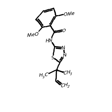 C=CC(C)(C)c1nnc(NC(=O)c2c(OC)cccc2OC)s1